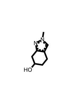 Cn1cc2c(n1)CC(O)CC2